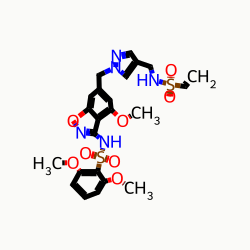 C=CS(=O)(=O)NCc1cnn(Cc2cc(OC)c3c(NS(=O)(=O)c4c(OC)cccc4OC)noc3c2)c1